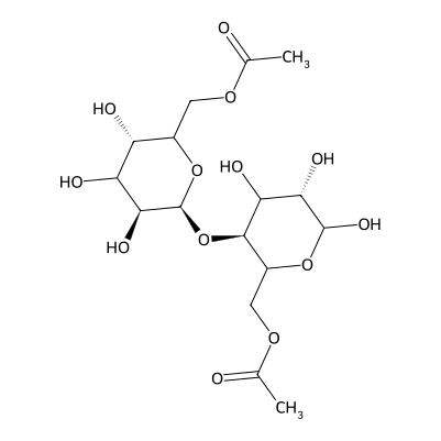 CC(=O)OCC1O[C@@H](O[C@@H]2C(COC(C)=O)OC(O)[C@@H](O)C2O)[C@@H](O)C(O)[C@@H]1O